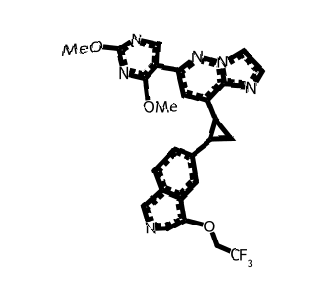 COc1ncc(-c2cc(C3CC3c3ccc4cncc(OCC(F)(F)F)c4c3)c3nccn3n2)c(OC)n1